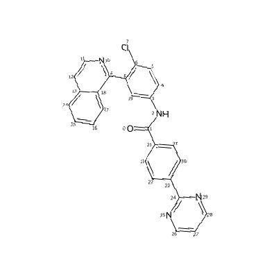 O=C(Nc1ccc(Cl)c(-c2nccc3ccccc23)c1)c1ccc(-c2ncccn2)cc1